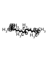 CO[Si](CCCCCCC(C)C(=O)C(C)CCCCCC[Si](OC)(OC)OC)(OC)OC